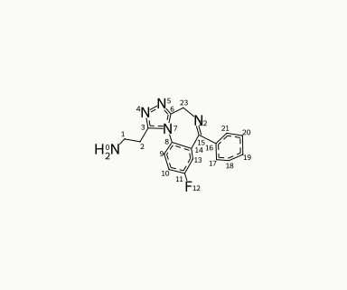 NCCc1nnc2n1-c1ccc(F)cc1C(c1ccccc1)=NC2